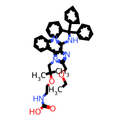 CCOCc1nc2c(NC(c3ccccc3)(c3ccccc3)c3ccccc3)nc3ccccc3c2n1CC(C)(C)OCCNC(=O)O